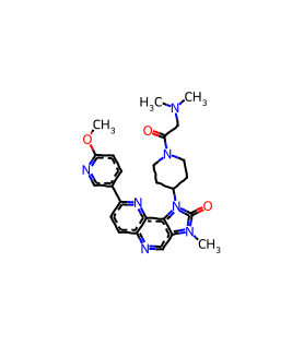 COc1ccc(-c2ccc3ncc4c(c3n2)n(C2CCN(C(=O)CN(C)C)CC2)c(=O)n4C)cn1